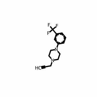 C#CCN1CCN(c2cccc(C(F)(F)F)c2)CC1